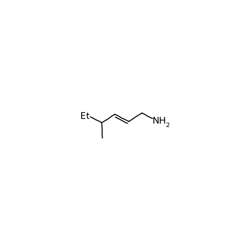 CCC(C)C=CCN